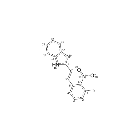 Cc1cccc(C=Cc2nc3ccccc3[nH]2)c1[N+](=O)[O-]